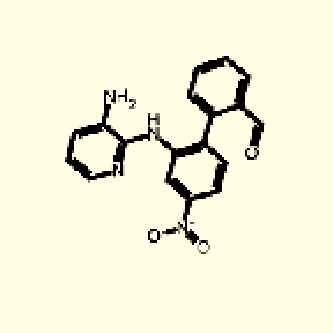 Nc1cccnc1Nc1cc([N+](=O)[O-])ccc1-c1ccccc1C=O